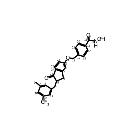 Cc1cc(CC2Cc3cc(OCc4ccc(C(=O)NO)cc4)ccc3C2=O)cc(C(F)(F)F)c1